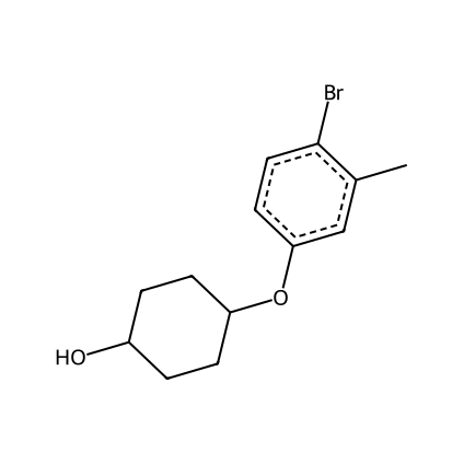 Cc1cc(OC2CCC(O)CC2)ccc1Br